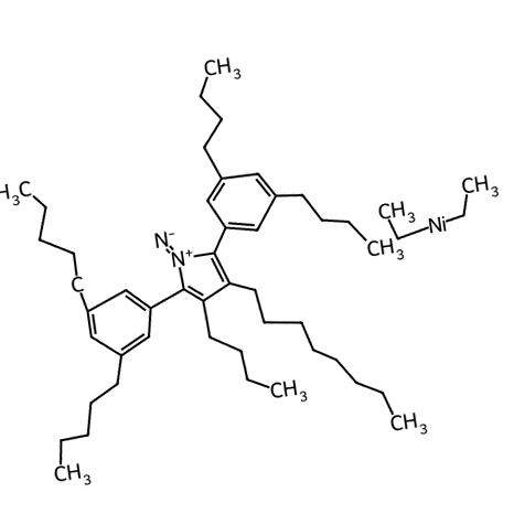 CCCCCCCCC1=C(c2cc(CCCC)cc(CCCC)c2)[N+](=[N-])C(c2cc(CCCCC)cc(CCCCC)c2)=C1CCCC.C[CH2][Ni][CH2]C